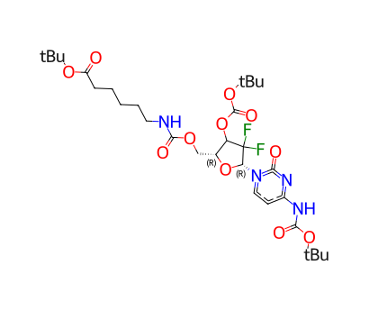 CC(C)(C)OC(=O)CCCCCNC(=O)OC[C@H]1O[C@@H](n2ccc(NC(=O)OC(C)(C)C)nc2=O)C(F)(F)C1OC(=O)OC(C)(C)C